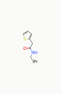 CC(C)CNC(=O)Cc1cccs1